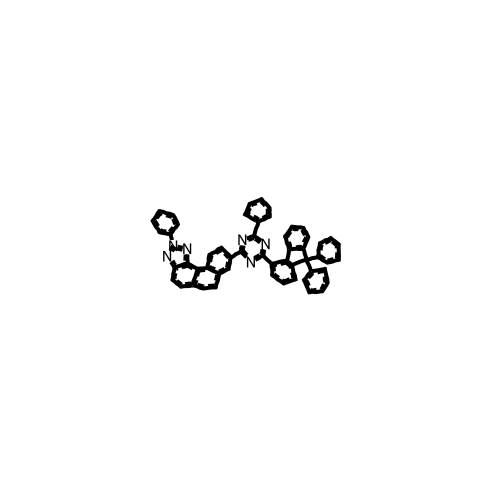 c1ccc(-c2nc(-c3ccc4c(ccc5ccc6nn(-c7ccccc7)nc6c54)c3)nc(-c3cccc4c3-c3ccccc3C4(c3ccccc3)c3ccccc3)n2)cc1